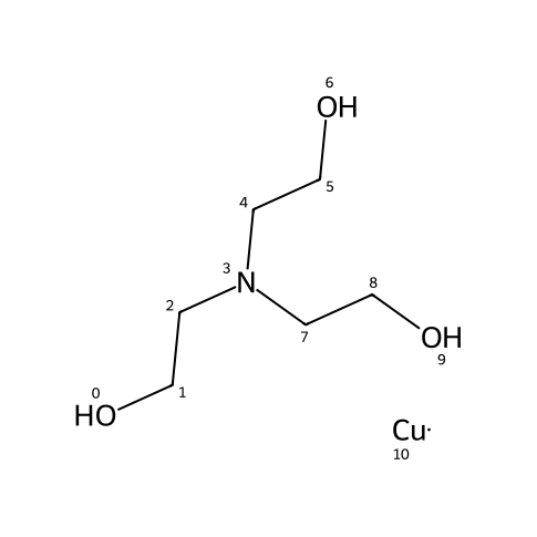 OCCN(CCO)CCO.[Cu]